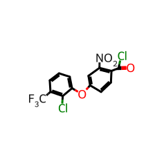 O=C(Cl)c1ccc(Oc2cccc(C(F)(F)F)c2Cl)cc1[N+](=O)[O-]